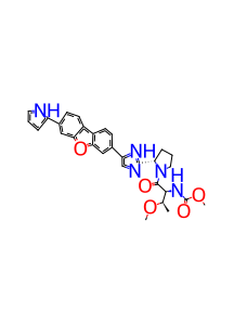 COC(=O)N[C@H](C(=O)N1CCC[C@H]1c1ncc(-c2ccc3c(c2)oc2cc(-c4ccc[nH]4)ccc23)[nH]1)[C@@H](C)OC